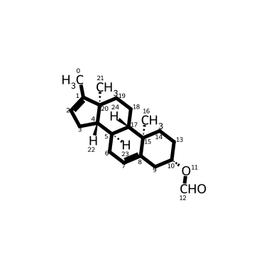 CC1=CC[C@H]2[C@@H]3CC=C4C[C@@H](OC=O)CC[C@]4(C)[C@H]3CC[C@]12C